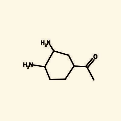 CC(=O)C1CCC(N)C(N)C1